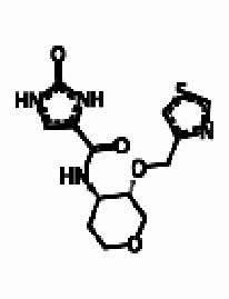 O=C(N[C@@H]1CCOC[C@H]1OCc1cscn1)c1c[nH]c(=O)[nH]1